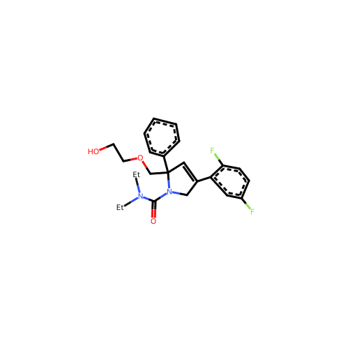 CCN(CC)C(=O)N1CC(c2cc(F)ccc2F)=CC1(COCCO)c1ccccc1